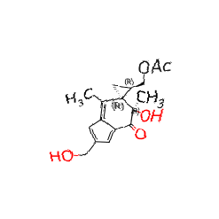 CC(=O)OC[C@@H]1C[C@]12C(C)=C1C=C(CO)C=C1C(=O)[C@]2(C)O